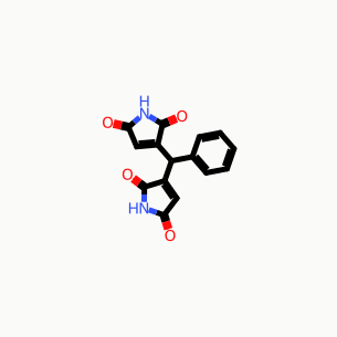 O=C1C=C(C(C2=CC(=O)NC2=O)c2ccccc2)C(=O)N1